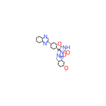 COc1ccc2c(c1)C(=O)N(C[C@@]1(c3ccc(-c4cnc5ccccc5n4)cc3)NC(=O)NC1=O)C2